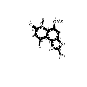 COc1cc2nc(C(C)C)oc2c2c(C)cc(=O)n(C)c12